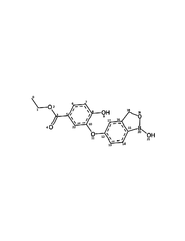 CCOC(=O)c1ccc(O)c(Oc2ccc3c(c2)COB3O)c1